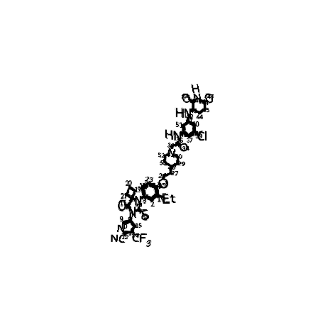 CCc1cc(N2C(=S)N(c3cnc(C#N)c(C(F)(F)F)c3)C(=O)C23CCC3)ccc1OCCC1CCN(CC(=O)Nc2cc(Cl)cc(NC3CCC(=O)NC3=O)c2)CC1